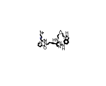 CCCNc1nc(Nc2ccc3c(c2)N(CCOC)NC3)ncc1C#CCCNC(=O)[C@@H]1CCCN1C(=O)/C=C/CN(C)C